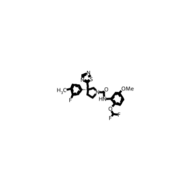 COc1ccc(OC(F)F)c(NC(=O)N2CC[C@@](c3ccc(C)c(F)c3)(c3ncns3)C2)c1